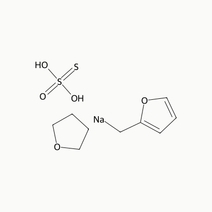 C1CCOC1.O=S(O)(O)=S.[Na][CH2]c1ccco1